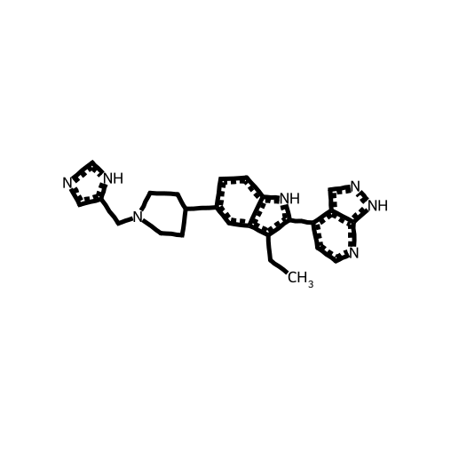 CCc1c(-c2ccnc3[nH]ncc23)[nH]c2ccc(C3CCN(Cc4cnc[nH]4)CC3)cc12